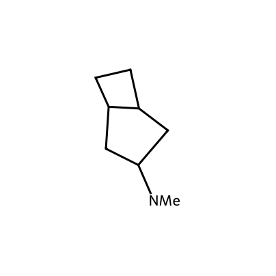 CNC1CC2CCC2C1